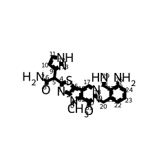 Cn1c2nc(C(C(N)=O)c3cc[nH]n3)sc2c2cnn(Cc3cccc(N)c3C=N)c(=O)c21